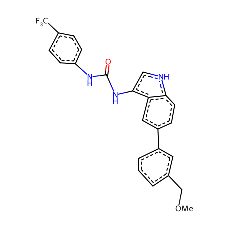 COCc1cccc(-c2ccc3[nH]cc(NC(=O)Nc4ccc(C(F)(F)F)cc4)c3c2)c1